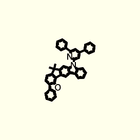 CC1(C)c2cc3c(cc2-c2c1ccc1c2oc2ccccc21)c1ccccc1n3-c1cc(-c2ccccc2)cc(-c2ccccc2)n1